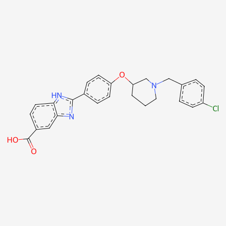 O=C(O)c1ccc2[nH]c(-c3ccc(OC4CCCN(Cc5ccc(Cl)cc5)C4)cc3)nc2c1